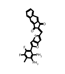 Cc1c(F)c(F)c(-c2cc3sc(C=C4C(=O)c5cc6ccccc6cc5C4=O)cc3o2)c(P)c1P